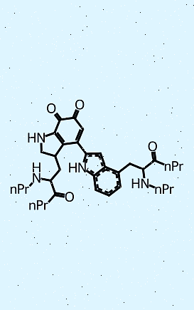 CCCNC(Cc1cccc2[nH]c(C3=CC(=O)C(=O)C4=C3C(CC(NCCC)C(=O)CCC)CN4)cc12)C(=O)CCC